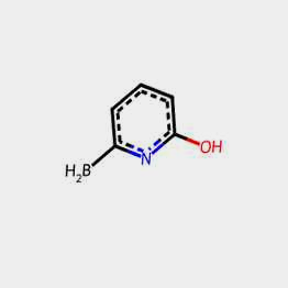 Bc1cccc(O)n1